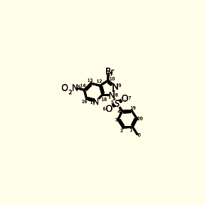 Cc1ccc(S(=O)(=O)n2nc(Br)c3cc([N+](=O)[O-])cnc32)cc1